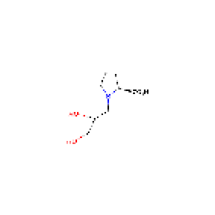 O=C(O)[C@@H]1CCCN1CC(O)CO